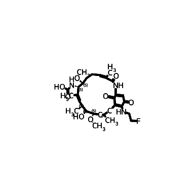 CO[C@H]1C[C@H](C)CC2=C(NCCF)C(=O)C=C(NC(=O)C(C)=CCC[C@H](OC)[C@@H](NC(=O)O)C(C)=C[C@H](C)[C@H]1O)C2=O